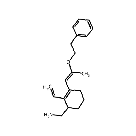 C=CC1=C(/C=C(\C)OCCc2ccccc2)CCCC1CN